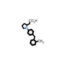 Cc1ccccc1Cc1ccc(N2CCCC2CC(=O)O)cc1